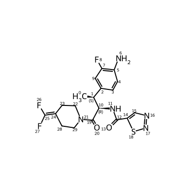 C[C@@H](c1ccc(N)c(F)c1)[C@@H](NC(=O)c1cnns1)C(=O)N1CCC(=C(F)F)CC1